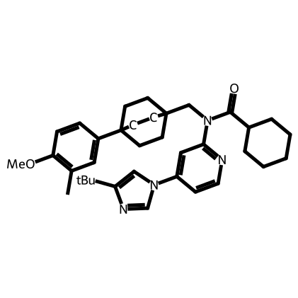 COc1ccc(C23CCC(CN(C(=O)C4CCCCC4)c4cc(-n5cnc(C(C)(C)C)c5)ccn4)(CC2)CC3)cc1C